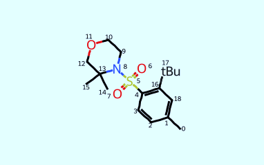 Cc1ccc(S(=O)(=O)N2CCOCC2(C)C)c(C(C)(C)C)c1